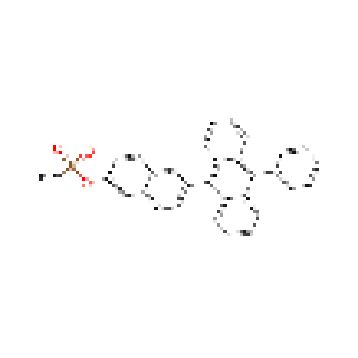 O=S(=O)(Oc1ccc2cc(-c3c4ccccc4c(-c4ccccc4)c4ccccc34)ccc2c1)C(F)(F)F